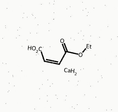 CCOC(=O)/C=C\C(=O)O.[CaH2]